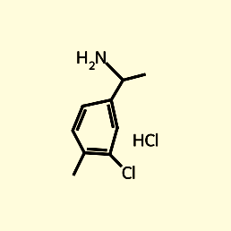 Cc1ccc(C(C)N)cc1Cl.Cl